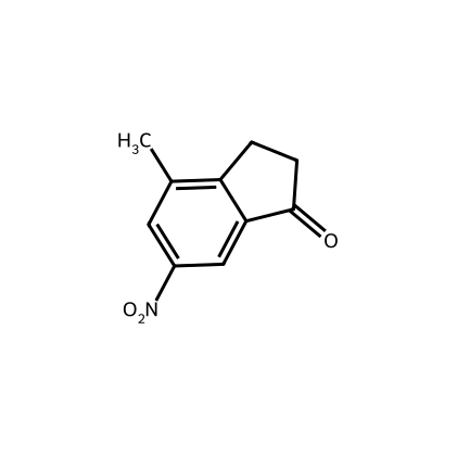 Cc1cc([N+](=O)[O-])cc2c1CCC2=O